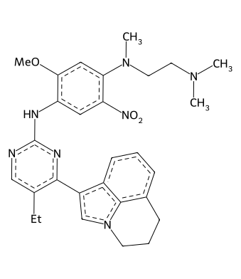 CCc1cnc(Nc2cc([N+](=O)[O-])c(N(C)CCN(C)C)cc2OC)nc1-c1cn2c3c(cccc13)CCC2